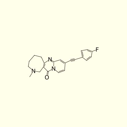 CN1CCCCc2nc3cc(C#Cc4ccc(F)cc4)ccn3c(=O)c2C1